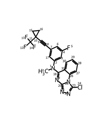 CN(c1cc(F)cc(C#CC2(C(F)(F)F)CC2)c1)c1nc2nnc(Cl)n2c2ccccc12